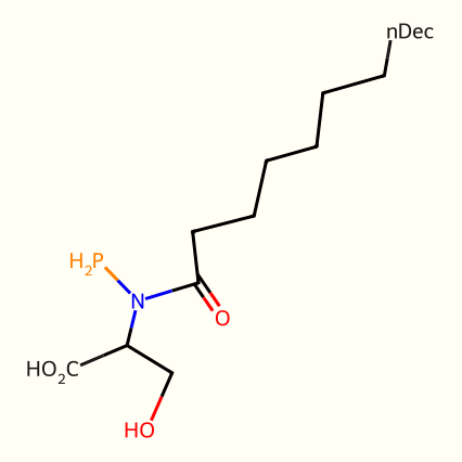 CCCCCCCCCCCCCCCCC(=O)N(P)C(CO)C(=O)O